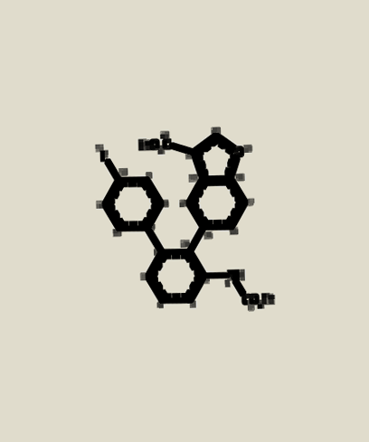 CCOC(=O)Nc1cccc(-c2ccc(F)cc2)c1-c1ccc2occ(C(=O)OCC)c2c1